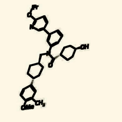 COc1ccc([C@H]2CC[C@H](CN(c3cccc(-c4ccc(OC(C)C)nc4)c3)C(=O)[C@H]3CC[C@H](O)CC3)CC2)cc1C